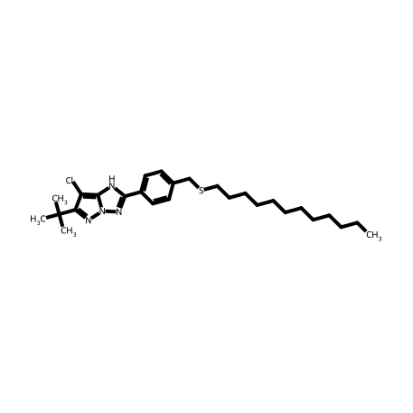 CCCCCCCCCCCCSCc1ccc(-c2nn3nc(C(C)(C)C)c(Cl)c3[nH]2)cc1